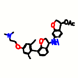 CC(=O)O[C@@H]1COc2cc(N[C@@H]3COc4c(-c5c(C)cc(OCCN(C)C)cc5C)cccc43)ccc21